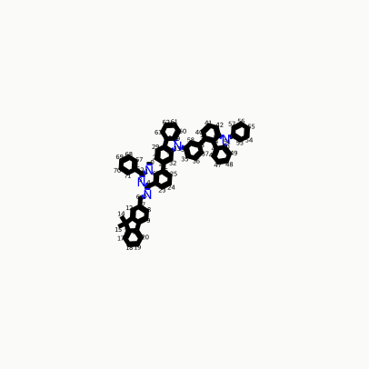 C=N/C(=N\C(=N/Cc1ccc2c(c1)C(C)(C)c1ccccc1-2)c1cccc(-c2ccc3c(c2)N(c2cccc(-c4cccc5c4c4ccccc4n5-c4ccccc4)c2)C2=CC=CCC23)c1)c1ccccc1